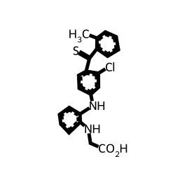 Cc1ccccc1C(=S)c1ccc(Nc2ccccc2NCC(=O)O)cc1Cl